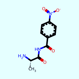 C[C@H](N)C(=O)NC(=O)c1ccc([N+](=O)[O-])cc1